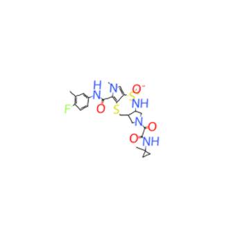 Cc1cc(NC(=O)c2c3c(cn2C)[S+]([O-])NC2CN(C(=O)C(=O)NC4(C)CC4)CC2CS3)ccc1F